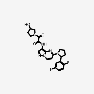 O=C(Nc1cnn2ccc(N3CCCC3c3cc(F)ccc3F)nc12)C(=O)N1CCC(O)C1